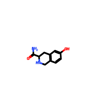 NC(=O)C1Cc2cc(O)ccc2CN1